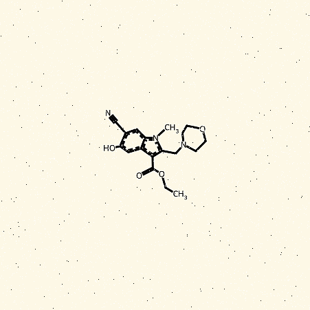 CCOC(=O)c1c(CN2CCOCC2)n(C)c2cc(C#N)c(O)cc12